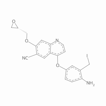 N#Cc1cc2c(Oc3ccc(N)c(CI)c3)ccnc2cc1OC[C@@H]1CO1